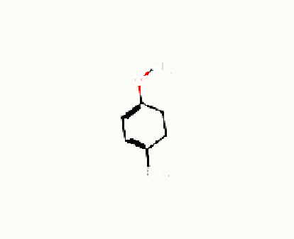 O=CC1=CC=C(OC(F)(F)F)CC1